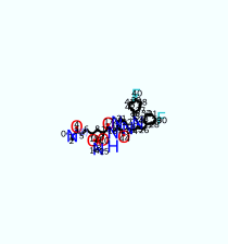 CN(C)C(=O)/C=C/CCC(OC(=O)N(C)C)C(=O)Nc1nccn(Cc2cc3cc(F)ccc3n2Cc2ccc(F)cc2)c1=O